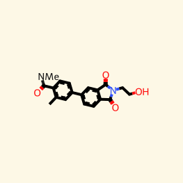 CNC(=O)c1ccc(-c2ccc3c(c2)C(=O)N(CCO)C3=O)cc1C